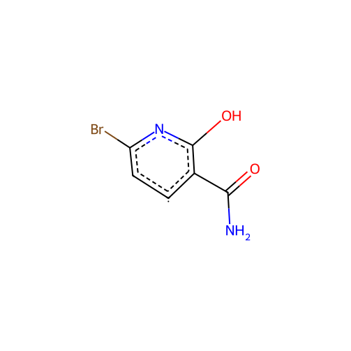 NC(=O)c1[c]cc(Br)nc1O